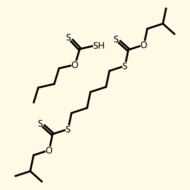 CC(C)COC(=S)SCCCCCSC(=S)OCC(C)C.CCCCOC(=S)S